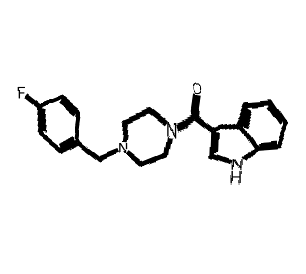 O=C(c1c[nH]c2ccccc12)N1CCN(Cc2ccc(F)cc2)CC1